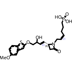 COc1ccc2sc(OCC(O)/C=C/[C@H]3CC(=O)N3C/C=C\CCCP(=O)(O)O)cc2c1